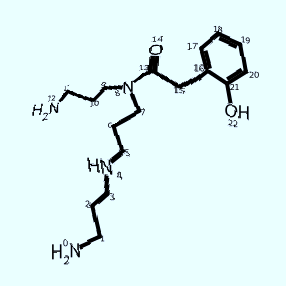 NCCCNCCCN(CCCN)C(=O)Cc1ccccc1O